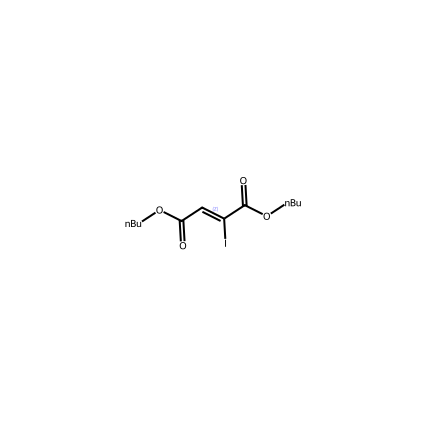 CCCCOC(=O)/C=C(\I)C(=O)OCCCC